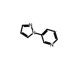 [c]1cncc(-n2cccn2)c1